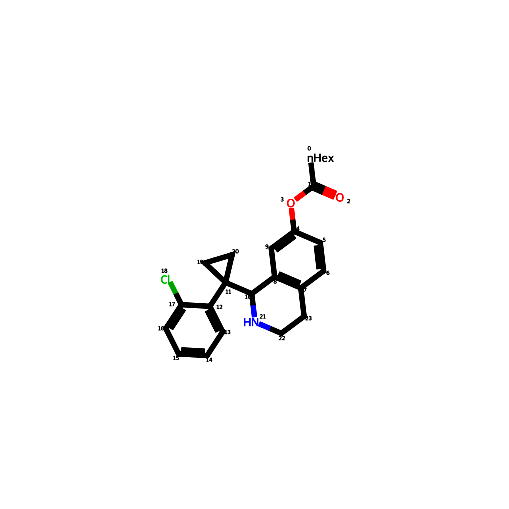 CCCCCCC(=O)Oc1ccc2c(c1)C(C1(c3ccccc3Cl)CC1)NCC2